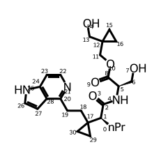 CCC[C@H](C(=O)N[C@H](CO)C(=O)OCC1(CO)CC1)C1(CCc2nccc3[nH]ccc23)CC1